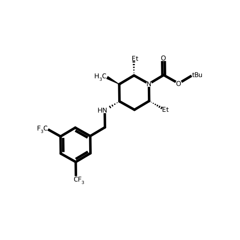 CC[C@@H]1C[C@H](NCc2cc(C(F)(F)F)cc(C(F)(F)F)c2)[C@@H](C)[C@H](CC)N1C(=O)OC(C)(C)C